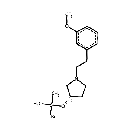 CC(C)(C)[Si](C)(C)O[C@H]1CCN(C[CH]c2cccc(OC(F)(F)F)c2)C1